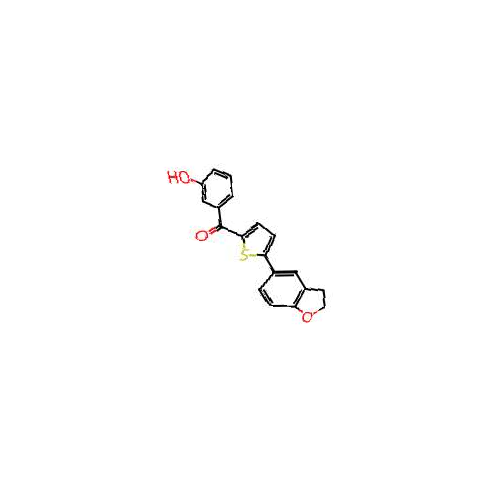 O=C(c1cccc(O)c1)c1ccc(-c2ccc3c(c2)CCO3)s1